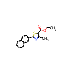 CCOC(=O)c1sc(-c2ccc3ccccc3c2)nc1C